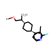 CCOCC(C(=O)OCC)[C@H]1CC[C@@H](c2ccnc(F)c2C)CC1